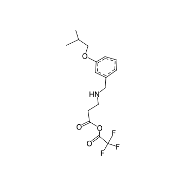 CC(C)COc1cccc(CNCCC(=O)OC(=O)C(F)(F)F)c1